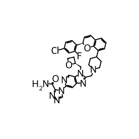 NC(=O)c1nncn1-c1cc2nc(CN3CCC(c4cccc5c4O[C@@H](c4ccc(Cl)cc4F)C=C5)CC3)n(C[C@@H]3CCO3)c2cn1